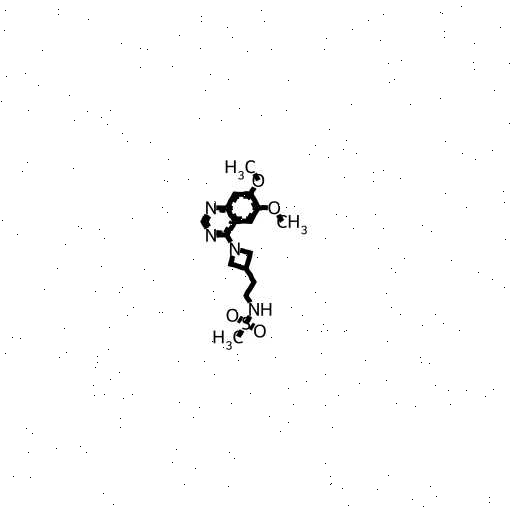 COc1cc2ncnc(N3CC(CCNS(C)(=O)=O)C3)c2cc1OC